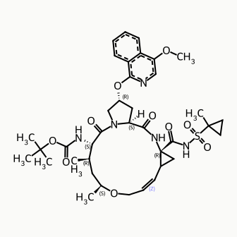 COc1cnc(O[C@@H]2C[C@H]3C(=O)N[C@]4(C(=O)NS(=O)(=O)C5(C)CC5)CC4/C=C\CO[C@@H](C)C[C@@H](C)[C@H](NC(=O)OC(C)(C)C)C(=O)N3C2)c2ccccc12